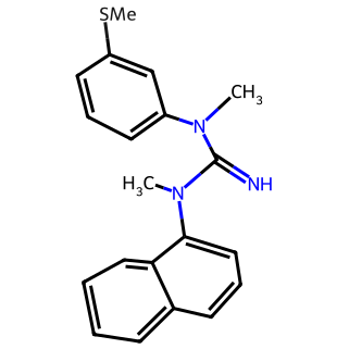 CSc1cccc(N(C)C(=N)N(C)c2cccc3ccccc23)c1